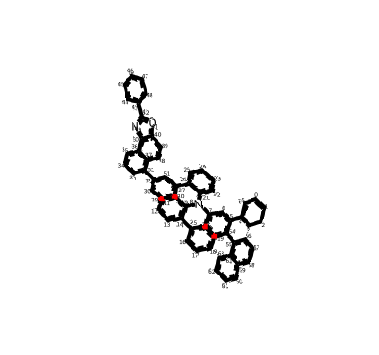 C1=CCCC(c2cc(N(c3ccccc3-c3ccccc3)c3ccccc3-c3cccc(-c4cccc5c4ccc4oc(-c6ccccc6)nc45)c3)ccc2-c2cccc3ccccc23)=C1